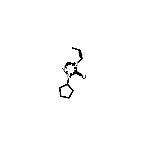 C/C=C\n1cnn(C2CCCC2)c1=O